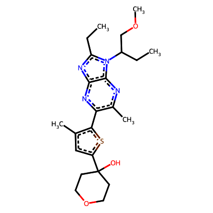 CCc1nc2nc(-c3sc(C4(O)CCOCC4)cc3C)c(C)nc2n1C(CC)COC